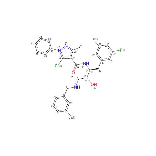 CCc1cccc(CNC[C@@H](O)[C@H](Cc2cc(F)cc(F)c2)NC(=O)c2c(C)nn(-c3ccccc3)c2Cl)c1